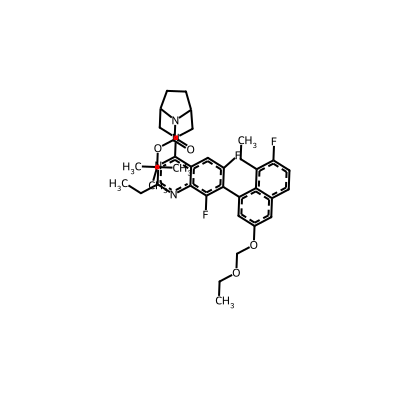 CCOCOc1cc(-c2c(F)cc3c(N4CC5CCC(C4)N5C(=O)OC(C)(C)C)nc(CC)nc3c2F)c2c(CC)c(F)ccc2c1